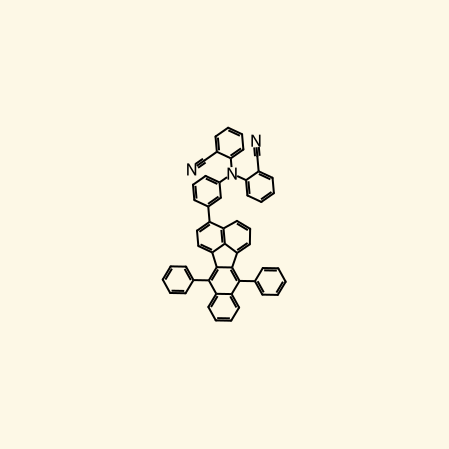 N#Cc1ccccc1N(c1cccc(-c2ccc3c4c(cccc24)-c2c-3c(-c3ccccc3)c3ccccc3c2-c2ccccc2)c1)c1ccccc1C#N